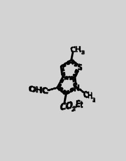 CCOC(=O)c1c(C=O)c2cc(C)sc2n1C